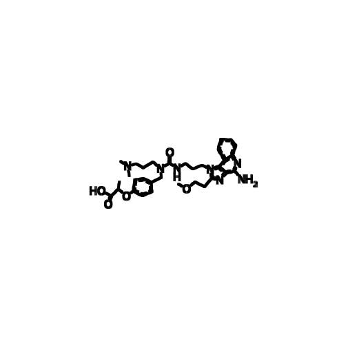 COCCc1nc2c(N)nc3ccccc3c2n1CCCNC(=O)N(CCCN(C)C)Cc1ccc(OC(C)C(=O)O)cc1